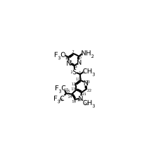 CC(Sc1nc(N)cc(C(F)(F)F)n1)c1cc2c(C(C(F)(F)F)C(F)(F)F)cn(C)c2cn1